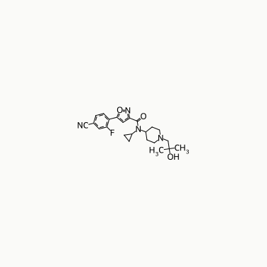 CC(C)(O)CN1CCC(N(C(=O)c2cc(-c3ccc(C#N)cc3F)on2)C2CC2)CC1